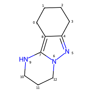 [CH]1CCCc2nn3c(c21)NCCC3